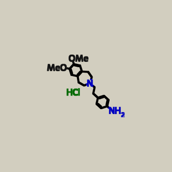 COc1cc2c(cc1OC)CCN(CCc1ccc(N)cc1)CC2.Cl